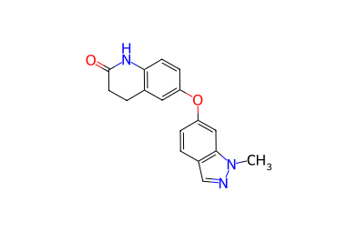 Cn1ncc2ccc(Oc3ccc4c(c3)CCC(=O)N4)cc21